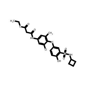 CCOC(=O)CC(=O)Nc1cc(C)c(Oc2ccc(O)c(S(=O)(=O)NC3CCC3)c2)c(Cl)c1